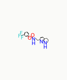 O=C(NCCc1ccc2c(n1)NCCC2)Oc1cccc(C(F)(F)F)c1